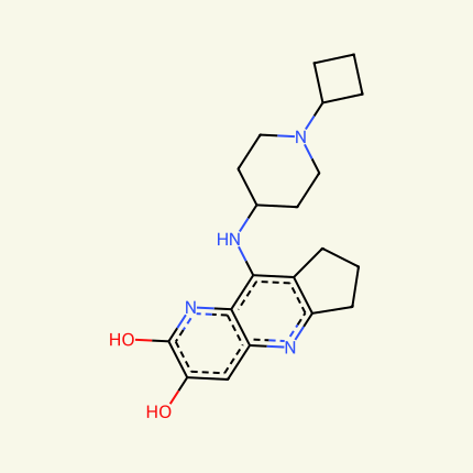 Oc1cc2nc3c(c(NC4CCN(C5CCC5)CC4)c2nc1O)CCC3